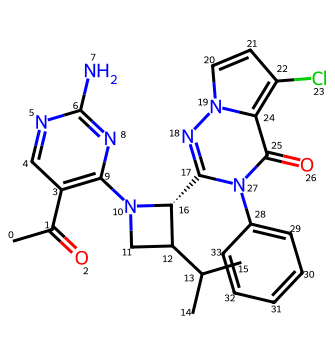 CC(=O)c1cnc(N)nc1N1CC(C(C)C)[C@H]1c1nn2ccc(Cl)c2c(=O)n1-c1ccccc1